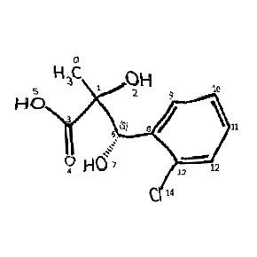 CC(O)(C(=O)O)[C@@H](O)c1ccccc1Cl